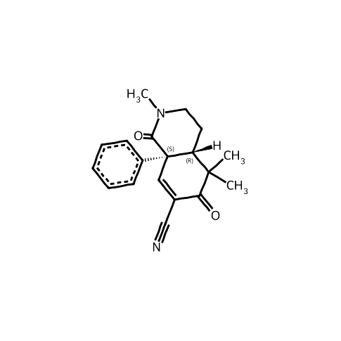 CN1CC[C@@H]2C(C)(C)C(=O)C(C#N)=C[C@@]2(c2ccccc2)C1=O